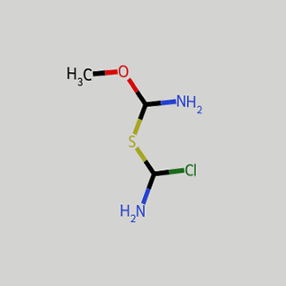 COC(N)SC(N)Cl